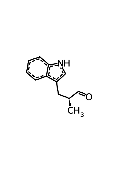 C[C@H](C=O)Cc1c[nH]c2ccccc12